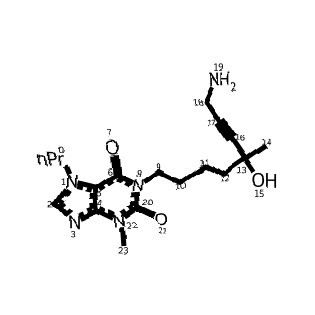 CCCn1cnc2c1c(=O)n(CCCCC(C)(O)C#CCN)c(=O)n2C